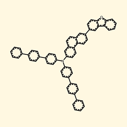 c1ccc(-c2ccc(-c3ccc(N(c4ccc(-c5ccc(-c6ccccc6)cc5)cc4)c4ccc5c(ccc6cc(-c7ccc8oc9ccccc9c8c7)ccc65)c4)cc3)cc2)cc1